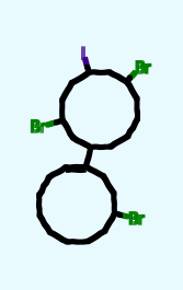 BrC1CCCCCCC/C=C(/C2CCCCC(Br)CC(I)CCC(Br)C2)CC1